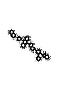 c1ccc2cc(-c3ccc(-c4c5ccccc5c(-c5ccc6cc(-c7ccc8c(c7)c7ccccc7n7c9ccccc9nc87)ccc6c5)c5ccccc45)cc3)ccc2c1